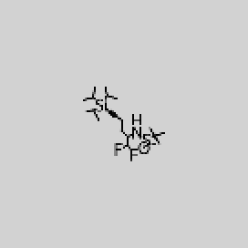 CC(C)[Si](C#CCCC(N[S+]([O-])C(C)(C)C)C(F)F)(C(C)C)C(C)C